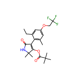 CCc1cc(OCC(F)(F)F)cc(C)c1C1=C(OC(=O)C(C)(C)C)C(C)(C)NC1=O